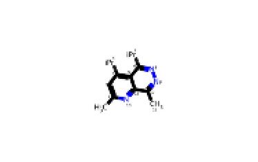 Cc1cc(C(C)C)c2c(C(C)C)nnc(C)c2n1